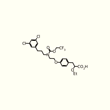 CCOC(Cc1ccc(OCCN(CCCc2cc(Cl)cc(Cl)c2)C(=O)OCC(F)(F)F)cc1)C(=O)O